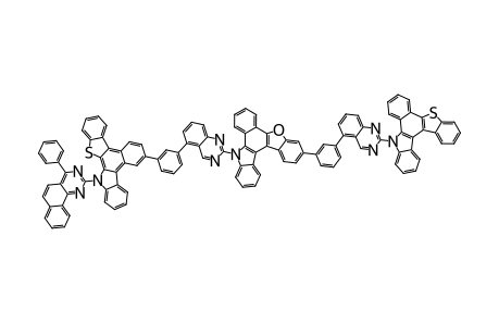 c1ccc(-c2nc(-n3c4ccccc4c4c5cc(-c6cccc(-c7cccc8nc(-n9c%10ccccc%10c%10c%11c%12ccc(-c%13cccc(-c%14cccc%15nc(-n%16c%17ccccc%17c%17c%18c%19ccccc%19sc%18c%18ccccc%18c%17%16)ncc%14%15)c%13)cc%12oc%11c%11ccccc%11c%109)ncc78)c6)ccc5c5c6ccccc6sc5c43)nc3c2ccc2ccccc23)cc1